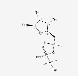 B[C@@H]1O[C@H](CC(C)(CC)OP(=O)(O)C(C)(C)O)[C@@H](O)[C@H]1Br